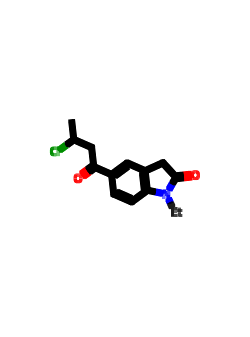 CCN1C(=O)Cc2cc(C(=O)CC(C)Cl)ccc21